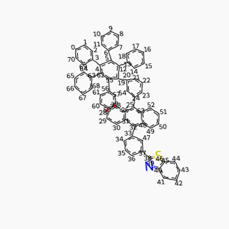 c1ccc(-c2c(-c3ccccc3)c(-c3ccccc3)c(-c3cccc(-c4c5ccccc5c(-c5cccc(-c6nc7ccccc7s6)c5)c5ccccc45)c3)c(-c3ccccc3)c2-c2ccccc2)cc1